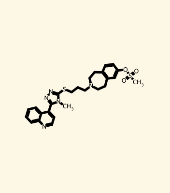 Cn1c(SCCCN2CCc3ccc(OS(C)(=O)=O)cc3CC2)nnc1-c1ccnc2ccccc12